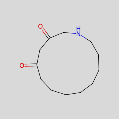 O=C1CCCCCCCCNCC(=O)C1